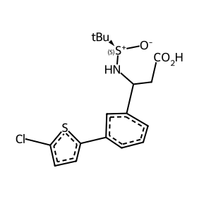 CC(C)(C)[S@@+]([O-])NC(CC(=O)O)c1cccc(-c2ccc(Cl)s2)c1